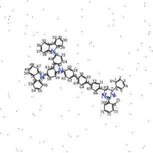 Cc1ccccc1-c1cc(-c2ccc(-c3ccc(-c4ccc(-n5c6ccc(-n7c8ccccc8c8ccccc87)cc6c6cc(-n7c8ccccc8c8ccccc87)ccc65)cc4)cc3)cc2)nc(-c2ccccc2C)n1